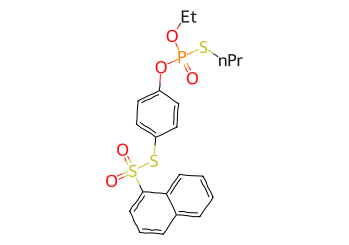 CCCSP(=O)(OCC)Oc1ccc(SS(=O)(=O)c2cccc3ccccc23)cc1